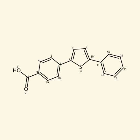 O=C(O)c1ccc(-c2ccc(-c3ccccc3)s2)cc1